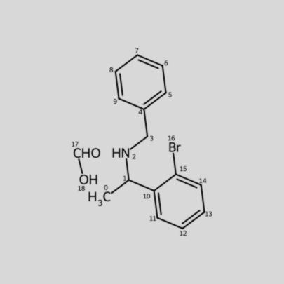 CC(NCc1ccccc1)c1ccccc1Br.O=CO